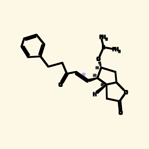 O=C(/C=C/[C@H]1[C@H](OB(P)P)CC2OC(=O)C[C@@H]21)CCc1ccccc1